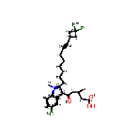 CC(CC(=O)O)CC(=O)c1c(CCCCCCC#CC2CC(F)(F)C2)n(C)c2ccc(Cl)cc12